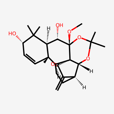 C=C1C(=O)[C@@]23[C@@H]4OC(C)(C)O[C@@]2(OC)[C@@H](O)[C@@H]2C(C)(C)[C@@H](O)C=C[C@@]2(C)[C@@H]3CC[C@@H]14